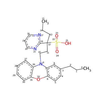 CCCc1ccc2c(c1)N(CCC(CCC)(c1ncccn1)S(=O)(=O)O)c1ccccc1O2